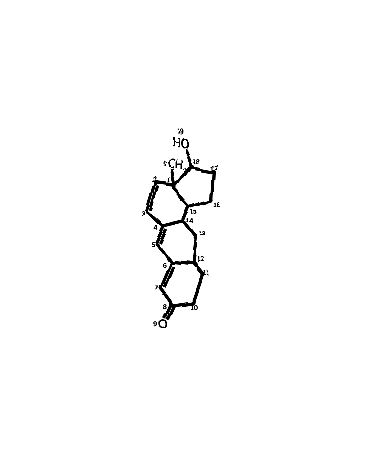 CC12C=CC3=CC4=CC(=O)CCC4CC3C1CCC2O